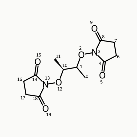 CC(ON1C(=O)CCC1=O)[C@H](C)ON1C(=O)CCC1=O